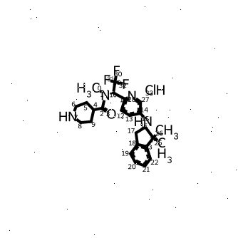 CN(C(=O)C1CCNCC1)[C@@H](c1ccc(NC2Cc3ccccc3C2(C)C)cn1)C(F)(F)F.Cl